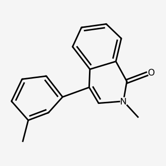 Cc1cccc(-c2cn(C)c(=O)c3ccccc23)c1